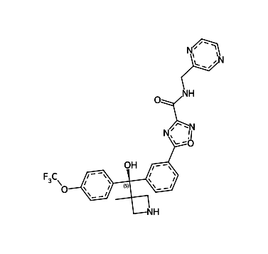 CC1([C@](O)(c2ccc(OC(F)(F)F)cc2)c2cccc(-c3nc(C(=O)NCc4cnccn4)no3)c2)CNC1